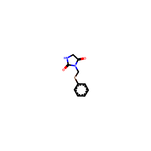 O=C1CNC(=O)N1CSc1ccccc1